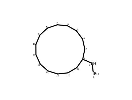 CC(C)(C)BC1CCCCCCCCCCCCCC1